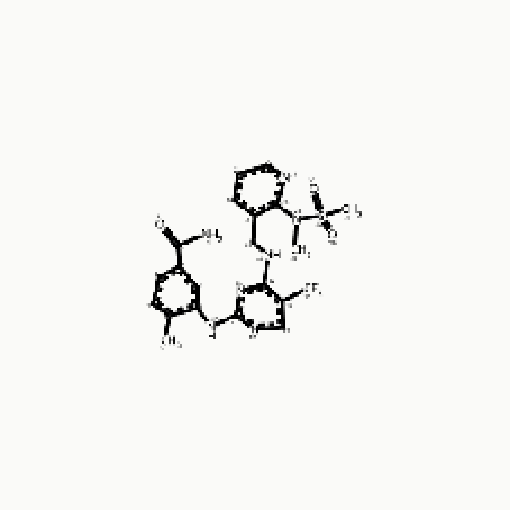 Cc1ccc(C(N)=O)cc1Nc1ncc(C(F)(F)F)c(NCc2cccnc2N(C)S(C)(=O)=O)n1